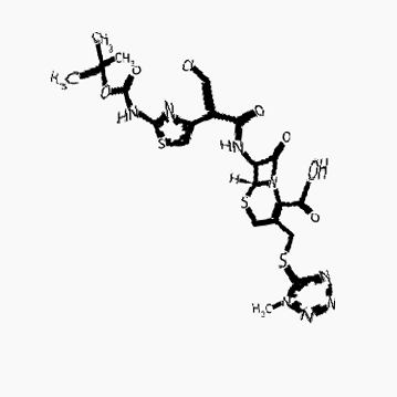 Cn1nnnc1SCC1=C(C(=O)O)N2C(=O)C(NC(=O)/C(=C/Cl)c3csc(NC(=O)OC(C)(C)C)n3)[C@H]2SC1